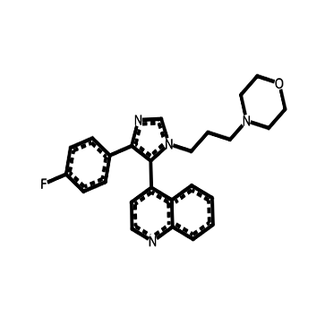 Fc1ccc(-c2ncn(CCCN3CCOCC3)c2-c2ccnc3ccccc23)cc1